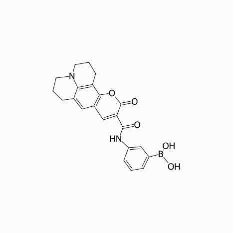 O=C(Nc1cccc(B(O)O)c1)c1cc2cc3c4c(c2oc1=O)CCCN4CCC3